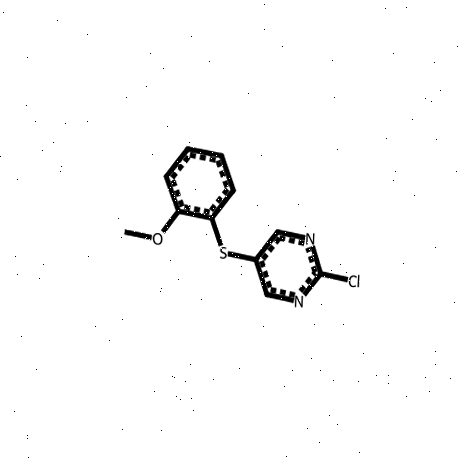 COc1ccccc1Sc1cnc(Cl)nc1